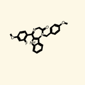 COc1ccc(CN2C(=O)CN=C(c3ccc(OC)cc3F)c3[nH]c4ccccc4c32)cc1